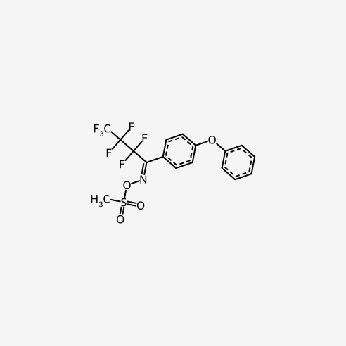 CS(=O)(=O)ON=C(c1ccc(Oc2ccccc2)cc1)C(F)(F)C(F)(F)C(F)(F)F